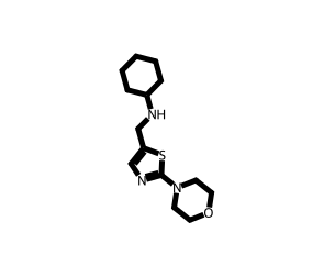 c1nc(N2CCOCC2)sc1CNC1CCCCC1